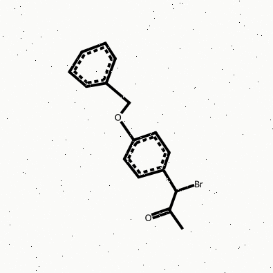 CC(=O)C(Br)c1ccc(OCc2ccccc2)cc1